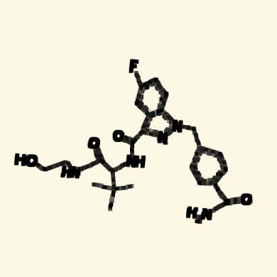 CC(C)(C)C(NC(=O)c1nn(Cc2ccc(C(N)=O)cc2)c2ccc(F)cc12)C(=O)NCCO